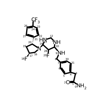 NC(=O)Cc1ccc(CNC2NCNC(N3C[C@@H](F)C[C@@H]3c3ccc(C(F)(F)F)cc3)C2F)cc1